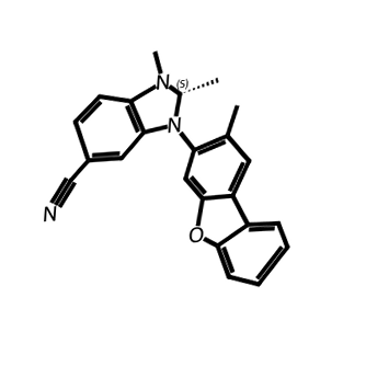 Cc1cc2c(cc1N1c3cc(C#N)ccc3N(C)[C@@H]1C)oc1ccccc12